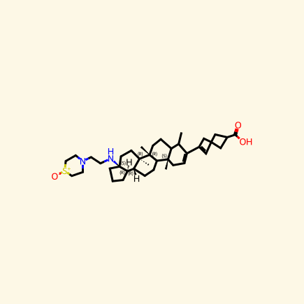 CC1C(C2=CC3(C2)CC(C(=O)O)C3)=CC[C@@]2(C)C1CC[C@]1(C)C2CC[C@@H]2[C@H]3CCC[C@]3(NCCN3CC[S+]([O-])CC3)CC[C@]21C